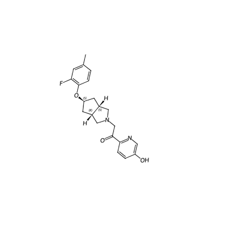 Cc1ccc(O[C@H]2C[C@@H]3CN(CC(=O)c4ccc(O)cn4)C[C@@H]3C2)c(F)c1